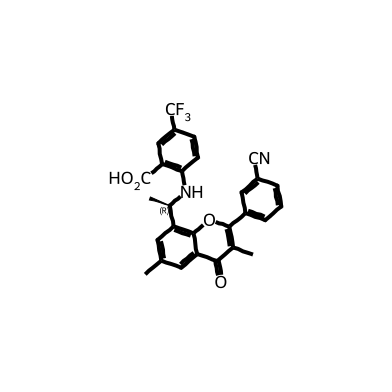 Cc1cc([C@@H](C)Nc2ccc(C(F)(F)F)cc2C(=O)O)c2oc(-c3cccc(C#N)c3)c(C)c(=O)c2c1